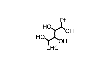 CCC(O)C(O)C(O)C(O)C=O